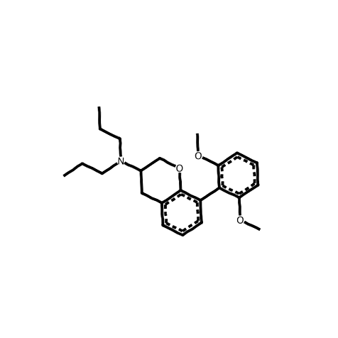 CCCN(CCC)C1COc2c(cccc2-c2c(OC)cccc2OC)C1